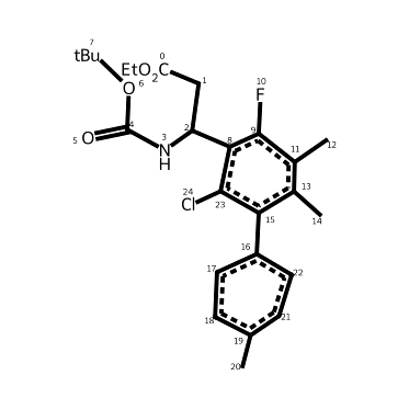 CCOC(=O)CC(NC(=O)OC(C)(C)C)c1c(F)c(C)c(C)c(-c2ccc(C)cc2)c1Cl